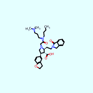 CCCCN(CCCN(C)C)C(=O)CN1C[C@H](c2ccc3c(c2)CCO3)[C@@H](C(=O)O)[C@@H]1CCN1Cc2ccccc2C1=O